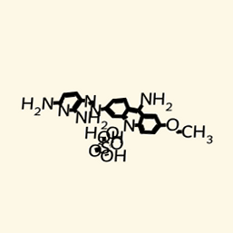 CCOc1ccc2nc3cc(N=Nc4ccc(N)nc4N)ccc3c(N)c2c1.O.O=S(=O)(O)O